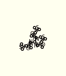 c1ccc2c(c1)Oc1cc(N3c4ccccc4Sc4ccccc43)ccc1N2c1ccnc(-c2cc(-c3nccc(N4c5ccccc5Oc5cc(N6c7ccccc7Sc7ccccc76)ccc54)n3)cc(-c3nccc(N4c5ccccc5Oc5cc(N6c7ccccc7Sc7ccccc76)ccc54)n3)c2)n1